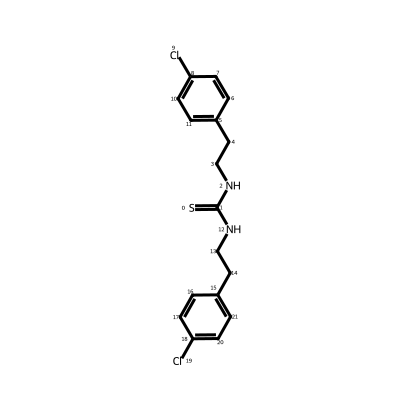 S=C(NCCc1ccc(Cl)cc1)NCCc1ccc(Cl)cc1